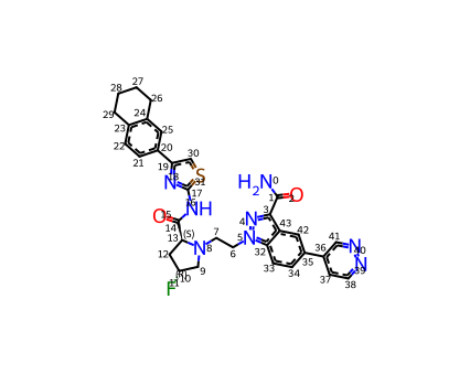 NC(=O)c1nn(CCN2C[C@H](F)C[C@H]2C(=O)Nc2nc(-c3ccc4c(c3)CCCC4)cs2)c2ccc(-c3ccnnc3)cc12